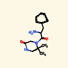 CC1(C)CNC(=O)CN1C(=O)C(N)Cc1ccccc1